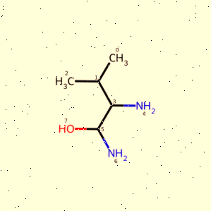 CC(C)C(N)C(N)O